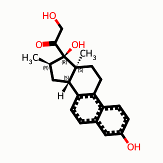 C[C@@H]1C[C@H]2c3ccc4cc(O)ccc4c3CC[C@]2(C)[C@@]1(O)C(=O)CO